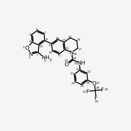 Nc1noc2cccc(-c3ccc4c(c3)CCCN4C(=O)Nc3cccc(OC(F)(F)F)c3)c12